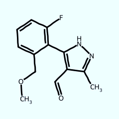 COCc1cccc(F)c1-c1[nH]nc(C)c1C=O